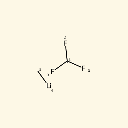 F[C](F)F.[Li][CH3]